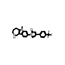 Cn1c2c(c3ccc(-n4ccc(-c5ccc(C(F)(F)F)cc5)cc4=O)cc31)CNCCC2